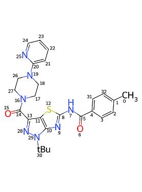 Cc1ccc(C(=O)Nc2nc3c(s2)c(C(=O)N2CCN(c4ccccn4)CC2)nn3C(C)(C)C)cc1